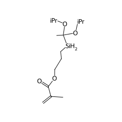 C=C(C)C(=O)OCCC[SiH2]C(C)(OC(C)C)OC(C)C